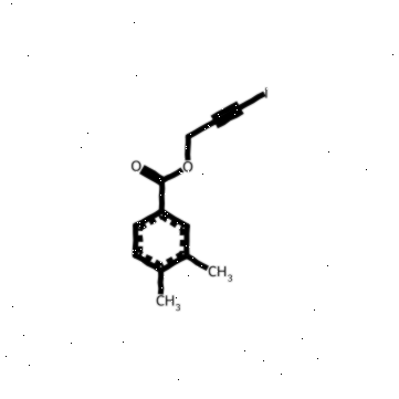 Cc1ccc(C(=O)OCC#CI)cc1C